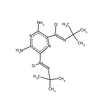 CC(C)(C)N=[N+]([O-])c1nc([N+]([O-])=NC(C)(C)C)c(N)nc1N